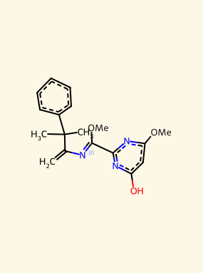 C=C(/N=C(\OC)c1nc(O)cc(OC)n1)C(C)(C)c1ccccc1